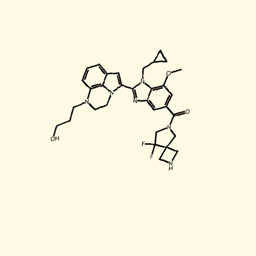 COc1cc(C(=O)N2CC(F)(F)C3(CNC3)C2)cc2nc(-c3cc4cccc5c4n3CCN5CCCO)n(CC3CC3)c12